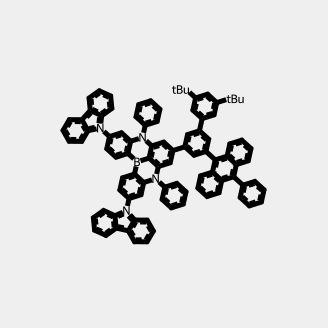 CC(C)(C)c1cc(-c2cc(-c3cc4c5c(c3)N(c3ccccc3)c3cc(-n6c7ccccc7c7ccccc76)ccc3B5c3ccc(-n5c6ccccc6c6ccccc65)cc3N4c3ccccc3)cc(-c3c4ccccc4c(-c4ccccc4)c4ccccc34)c2)cc(C(C)(C)C)c1